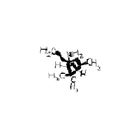 C=CC[C@]1(N)C=C(C)[C@@H]2C[C@H]1C2(C)C